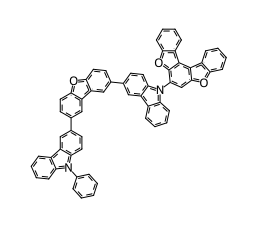 c1ccc(-n2c3ccccc3c3cc(-c4ccc5oc6ccc(-c7ccc8c(c7)c7ccccc7n8-c7cc8oc9ccccc9c8c8c7oc7ccccc78)cc6c5c4)ccc32)cc1